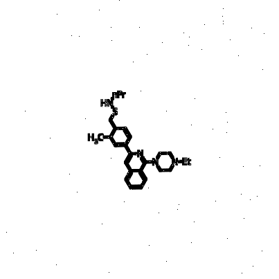 CCCNSCC1C=CC(c2cc3ccccc3c(N3CCN(CC)CC3)n2)=CC1C